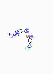 Nc1nc2cc(-c3cnn(CC(=O)Nc4ccc(N5CCC(F)(F)C5)cc4)c3)ccn2n1